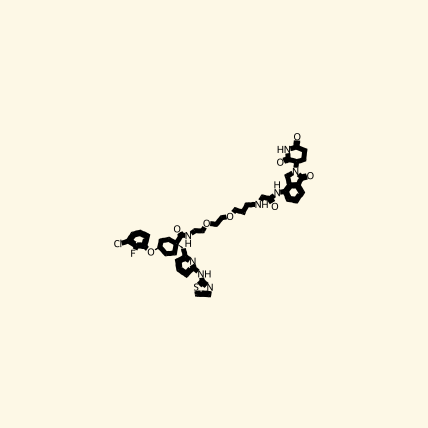 O=C1CCC(N2Cc3c(NC(=O)CNCCCOCCOCCNC(=O)[C@]4(Cc5cccc(Nc6nccs6)n5)CC[C@@H](Oc5cccc(Cl)c5F)CC4)cccc3C2=O)C(=O)N1